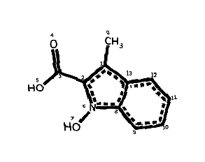 Cc1c(C(=O)O)n(O)c2ccccc12